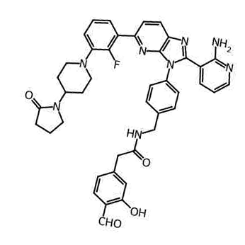 Nc1ncccc1-c1nc2ccc(-c3cccc(N4CCC(N5CCCC5=O)CC4)c3F)nc2n1-c1ccc(CNC(=O)Cc2ccc(C=O)c(O)c2)cc1